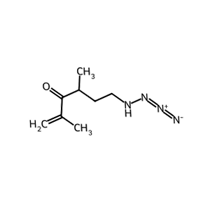 C=C(C)C(=O)C(C)CCNN=[N+]=[N-]